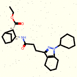 CCOC(=O)[C@H]1C2CCC(C2)[C@H]1NC(=O)CCc1nn(C2CCCCC2)c2c1CCCC2